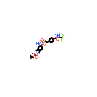 CC(C)(C)OC(=O)n1cc2ccc(NS(=O)(=O)CCc3ccc(-c4nnc(C(F)F)o4)cc3)cc2c1